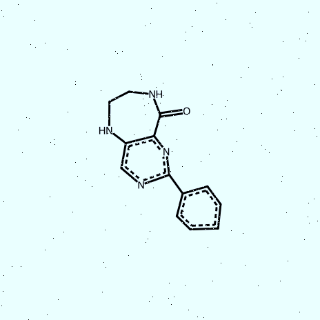 O=C1NCCNc2cnc(-c3ccccc3)nc21